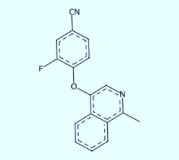 Cc1ncc(Oc2ccc(C#N)cc2F)c2ccccc12